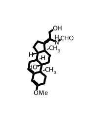 COC1=CC2=CC[C@H]3[C@@H]4CC/C(=C(\CO)NC=O)[C@@]4(C)CC[C@]3(O)[C@@]2(C)CC1